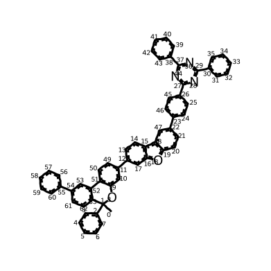 CC1(c2ccccc2)Oc2cc(-c3ccc4c(c3)oc3ccc(-c5ccc(-c6nc(-c7ccccc7)nc(-c7ccccc7)n6)cc5)cc34)ccc2-c2cc(-c3ccccc3)ccc21